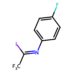 Fc1ccc(N=C(I)C(F)(F)F)cc1